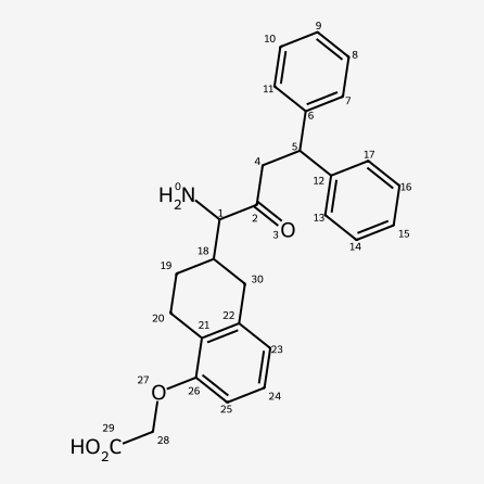 NC(C(=O)CC(c1ccccc1)c1ccccc1)C1CCc2c(cccc2OCC(=O)O)C1